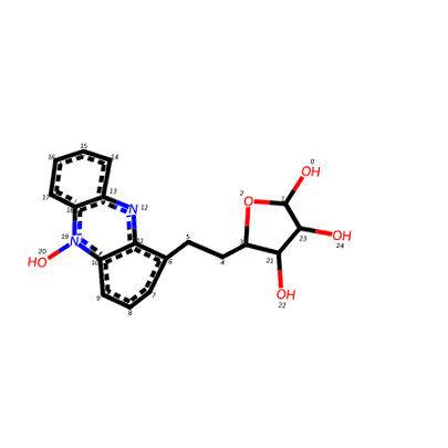 OC1OC(CCc2cccc3c2nc2ccccc2[n+]3O)C(O)C1O